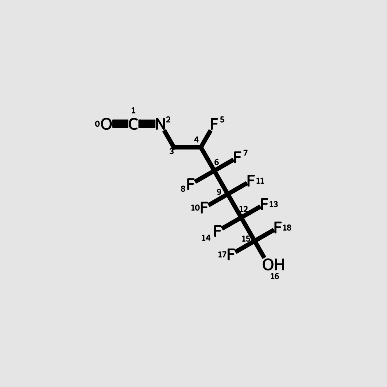 O=C=NCC(F)C(F)(F)C(F)(F)C(F)(F)C(O)(F)F